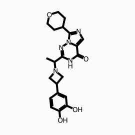 CC(c1nn2c(C3CCOCC3)ncc2c(=O)[nH]1)N1CC(c2ccc(O)c(O)c2)C1